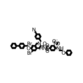 N#Cc1ccc(CN2Cc3c(cc(Br)c(OCc4ccc(-c5ccccc5)cc4)c3Br)C[C@H]2C(=O)NS(=O)(=O)c2ccc(NCCOc3ccccc3)c([N+](=O)[O-])c2)cc1